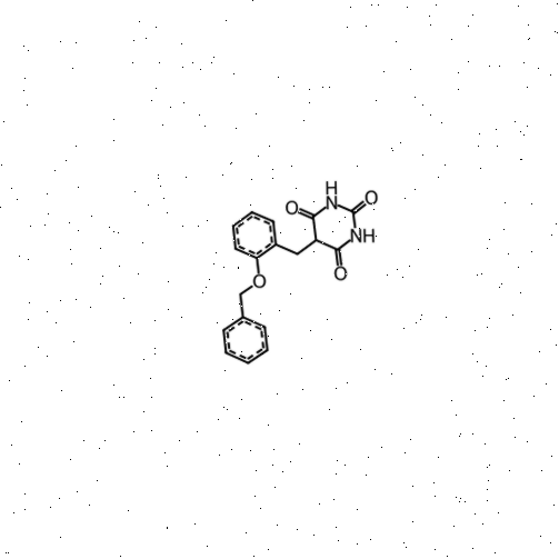 O=C1NC(=O)C(Cc2ccccc2OCc2ccccc2)C(=O)N1